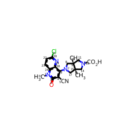 Cn1c(=O)c(C#N)c(N2C[C@]3(C)CN(C(=O)O)C[C@]3(C)C2)c2nc(Cl)ccc21